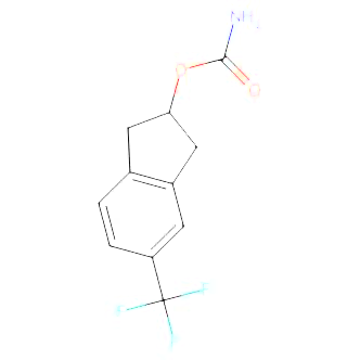 NC(=O)OC1Cc2ccc(C(F)(F)F)cc2C1